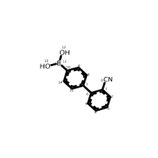 N#Cc1ccccc1-c1ccc(B(O)O)cc1